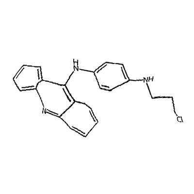 ClCCNc1ccc(Nc2c3ccccc3nc3ccccc23)cc1